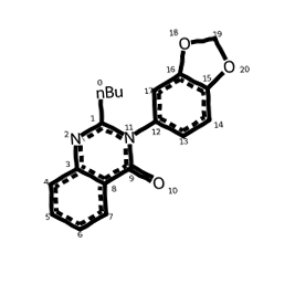 CCCCc1nc2ccccc2c(=O)n1-c1ccc2c(c1)OCO2